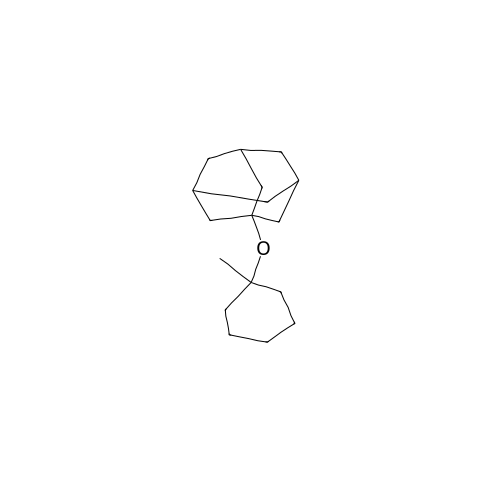 CC1(OC23CC4CC(CC(C4)C2)C3)CCCCC1